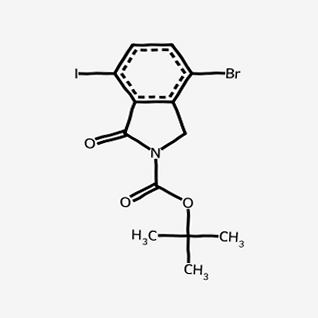 CC(C)(C)OC(=O)N1Cc2c(Br)ccc(I)c2C1=O